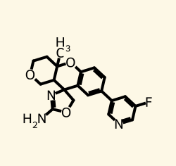 CC12CCOCC1C1(COC(N)=N1)c1cc(-c3cncc(F)c3)ccc1O2